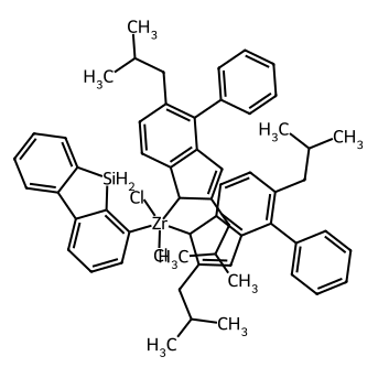 CC(C)CC1=Cc2c(ccc(CC(C)C)c2-c2ccccc2)[CH]1[Zr]([Cl])([Cl])([c]1cccc2c1[SiH2]c1ccccc1-2)[CH]1C(CC(C)C)=Cc2c1ccc(CC(C)C)c2-c1ccccc1